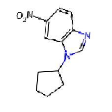 O=[N+]([O-])c1ccc2ncn(C3CCCC3)c2c1